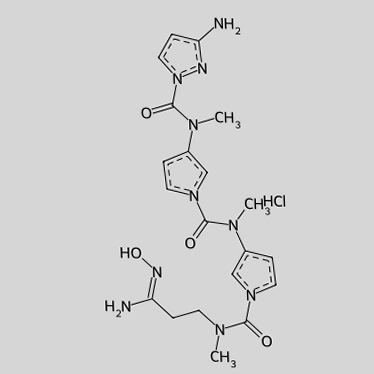 CN(CCC(N)=NO)C(=O)n1ccc(N(C)C(=O)n2ccc(N(C)C(=O)n3ccc(N)n3)c2)c1.Cl